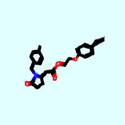 CCc1ccc(OCCOC(=O)CC2CCC(=O)N2Cc2ccc(C)cc2)cc1